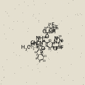 CC(C)C[C@]1(c2cc3ccccc3s2)NC(=N)N([C@H](COC(=O)NC2(C(F)(F)F)CC2)c2ccc(Cl)c(-n3ncnc3C(F)F)c2)C1=O